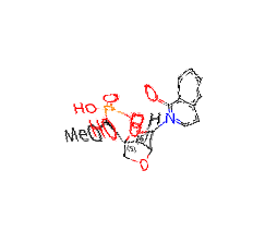 COC[C@@]12COC(C(n3ccc4ccccc4c3=O)O1)[C@@H]2OP(=O)(O)O